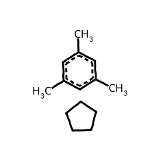 C1CCCC1.Cc1cc(C)cc(C)c1